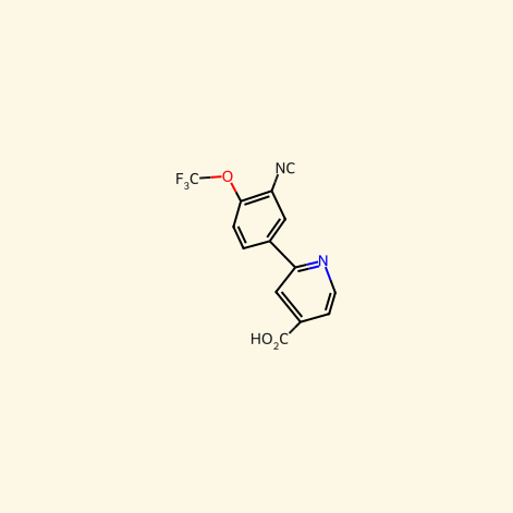 [C-]#[N+]c1cc(-c2cc(C(=O)O)ccn2)ccc1OC(F)(F)F